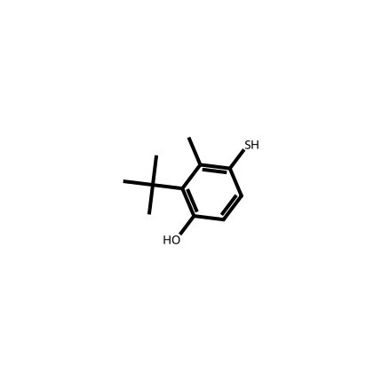 Cc1c(S)ccc(O)c1C(C)(C)C